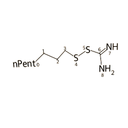 CCCCCCCCSSC(=N)N